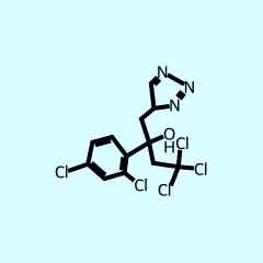 OC(CC1C=NN=N1)(CC(Cl)(Cl)Cl)c1ccc(Cl)cc1Cl